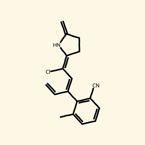 C=C/C(=C\C(Cl)=C1/CCC(=C)N1)c1c(C)cccc1C#N